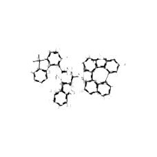 CC1(C)c2ccccc2-c2c(-c3nc(-n4c5ccc6cccc7c6c5c5c6c(ccc54)sc4cccc-7c46)c4sc5ccccc5c4n3)cccc21